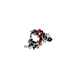 Cc1ccc(C[C@H](NC(=O)[C@@H]2CSSC[C@@H]3NC(=O)C(CC(C)C)NC(=O)[C@H](CCC(=O)O)NC(=O)[C@@H]4CSSC[C@H](NC(=O)[C@H](C)NC(=O)[C@@H]5CCCN5C(=O)[C@H](CC(N)=O)NC(=O)[C@H](CSSC[C@H](C)C(=O)N4)NC3=O)C(=O)N[C@@H](C)C(=O)NCC(=O)N2)C(=O)O)cc1